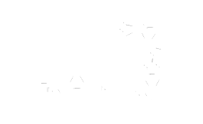 Cc1cc2cc(n1)-c1cnn(C)c1OCCC[C@@H](C)CN1/C(=N/C2=O)Nc2ccc(C(=O)N(C)CC(F)(F)C3CCN(CCc4cc(F)c([C@H]5CCC(=O)NC5=O)c(F)c4)CC3)cc21